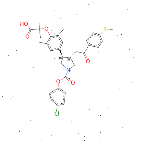 CSc1ccc(C(=O)C[C@@H]2CN(C(=O)Oc3ccc(Cl)cc3)C[C@H]2c2cc(C)c(OC(C)(C)C(=O)O)c(C)c2)cc1